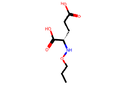 CCCON[C@@H](CCC(=O)O)C(=O)O